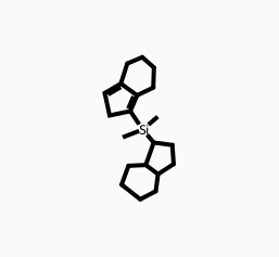 C[Si](C)(C1=C2CCCCC2=CC1)C1CCC2CCCCC21